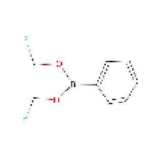 FCOB(OCF)c1ccccc1